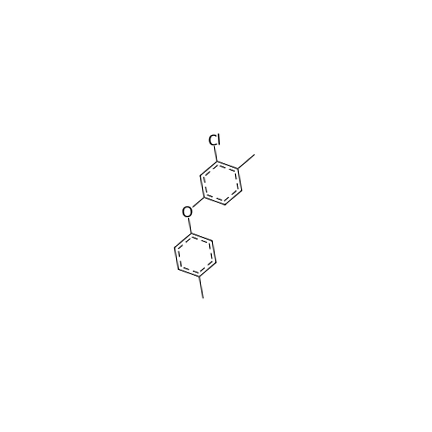 Cc1ccc(Oc2ccc(C)c(Cl)c2)cc1